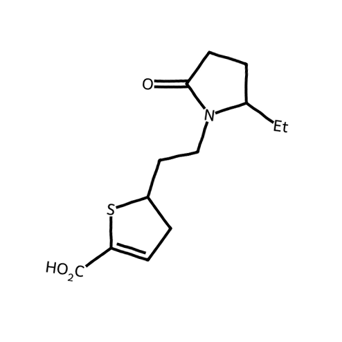 CCC1CCC(=O)N1CCC1CC=C(C(=O)O)S1